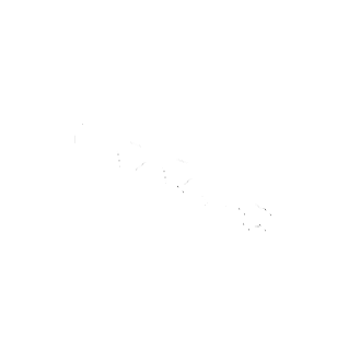 O[C@@H](Cc1ccc(-c2ccc(OCC(F)(F)F)cc2)cn1)C(F)(F)n1cnnn1